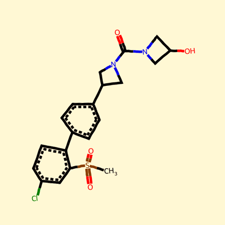 CS(=O)(=O)c1cc(Cl)ccc1-c1ccc(C2CN(C(=O)N3CC(O)C3)C2)cc1